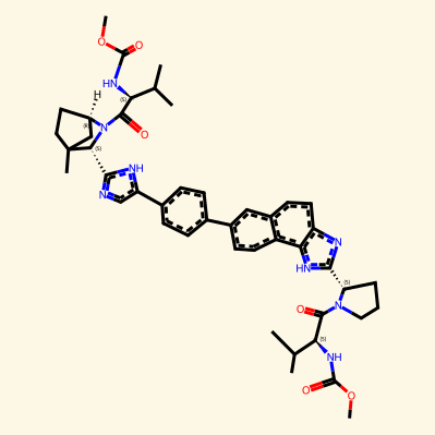 COC(=O)N[C@H](C(=O)N1CCC[C@H]1c1nc2ccc3cc(-c4ccc(-c5cnc([C@H]6N(C(=O)[C@@H](NC(=O)OC)C(C)C)[C@@H]7CCC6(C)C7)[nH]5)cc4)ccc3c2[nH]1)C(C)C